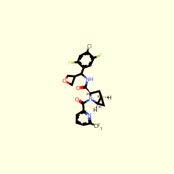 O=C(NC(c1cc(F)c(Cl)cc1F)C1COC1)[C@H]1C[C@H]2C[C@H]2N1C(=O)c1cccc(C(F)(F)F)n1